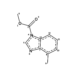 COC(=O)n1cnc2c(C)cccc21